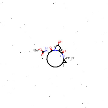 CCOC(=O)[C@@]12C[C@H]1CCCCCCC[C@H](NC(=O)OC(C)(C)C)C(=O)N1C[C@@H](O)C[C@H]1C(=O)N2